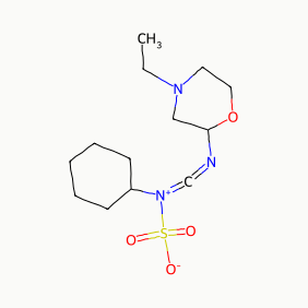 CCN1CCOC(N=C=[N+](C2CCCCC2)S(=O)(=O)[O-])C1